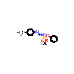 CCC(C)SP(=O)(NC=Nc1ccc(C)cc1)Oc1ccccc1